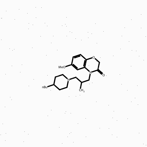 CCCCC1CCN(CC(C)CN2C(=O)COc3ccc(OC)cc32)CC1